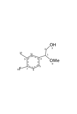 COC(CO)c1ccc(F)c(C)c1